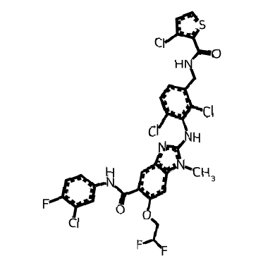 Cn1c(Nc2c(Cl)ccc(CNC(=O)c3sccc3Cl)c2Cl)nc2cc(C(=O)Nc3ccc(F)c(Cl)c3)c(OCC(F)F)cc21